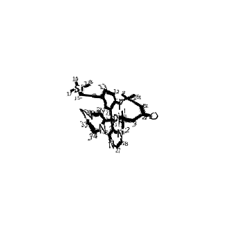 CC1(C)CC(=O)CC(C)(C)P1c1ccc(C[Si](C)(C)C)cc1C(P)(c1cnccn1)c1cnccn1